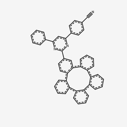 N#Cc1ccc(-c2cc(-c3ccccc3)nc(-c3ccc4c5ccccc5c5ccccc5c5ccccc5c5ccccc5c4c3)n2)cc1